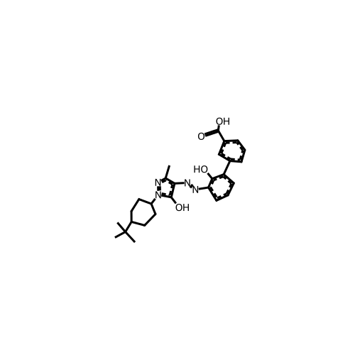 Cc1nn(C2CCC(C(C)(C)C)CC2)c(O)c1N=Nc1cccc(-c2cccc(C(=O)O)c2)c1O